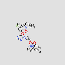 CCN(C(=O)c1cc(F)ccc1Oc1cncnc1N1CC[C@H](COC(=O)NC(C)(C)C)C1)C(C)C